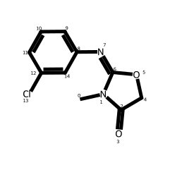 CN1C(=O)COC1=Nc1cccc(Cl)c1